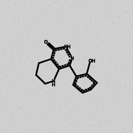 O=c1[nH]nc(-c2ccccc2O)c2c1CCCN2